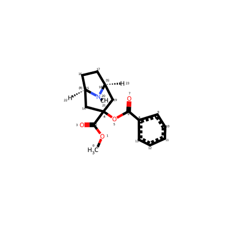 COC(=O)C1(OC(=O)c2ccccc2)C[C@H]2CC[C@@H](C1)N2C